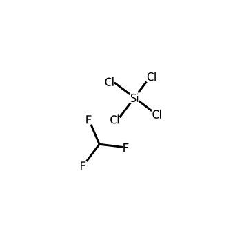 Cl[Si](Cl)(Cl)Cl.FC(F)F